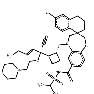 C#C[C@@](/C=C/CC)(OCCN1CCOCC1)[C@@H]1CC[C@H]1CN1C[C@@]2(CCCc3cc(Cl)ccc32)COc2ccc(C(=O)NS(=O)(=O)C(C)C)cc21